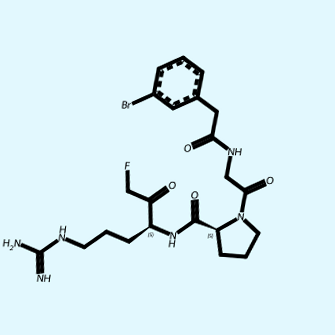 N=C(N)NCCC[C@H](NC(=O)[C@@H]1CCCN1C(=O)CNC(=O)Cc1cccc(Br)c1)C(=O)CF